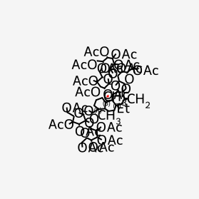 C=C1C[C@@]2(CC)CCC3[C@@](C)(CCC[C@@]3(C)C(=O)OC3OC(COC(C)=O)C(OC(C)=O)C(OC(C)=O)C3OC3OC(COC(C)=O)C(OC(C)=O)C(OC(C)=O)C3OC(C)=O)C2CCI1OC1OC(COC(C)=O)C(OC(C)=O)C(OC2OC(COC(C)=O)C(OC(C)=O)C(OC(C)=O)C2OC(C)=O)C1OC1OC(COC(C)=O)C(OC(C)=O)C(OC(C)=O)C1OC(C)=O